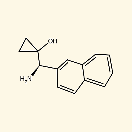 N[C@H](c1ccc2ccccc2c1)C1(O)CC1